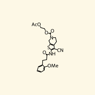 COc1ccccc1CCC(=O)Nc1sc2c(c1C#N)CCN(C(=O)OCCOC(C)=O)C2